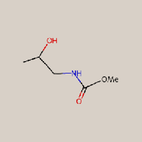 COC(=O)NCC(C)O